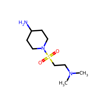 CN(C)CCS(=O)(=O)N1CCC(N)CC1